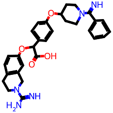 N=C(N)N1CCc2ccc(OC(C(=O)O)c3ccc(OC4CCN(C(=N)c5ccccc5)CC4)cc3)cc2C1